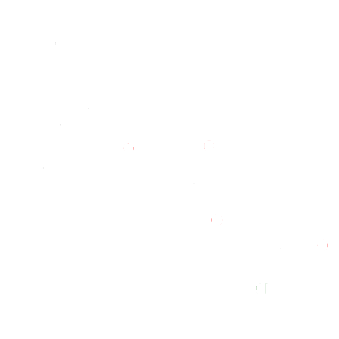 CC1(OCC(=O)OCC(=O)Cl)C2CC3CC(C2)CC1C3